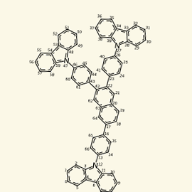 c1ccc2c(c1)c1ccccc1n2-c1ccc(-c2ccc3cc(-c4ccc(-n5c6ccccc6c6ccccc65)cc4)c(-c4ccc(-n5c6ccccc6c6ccccc65)cc4)cc3c2)cc1